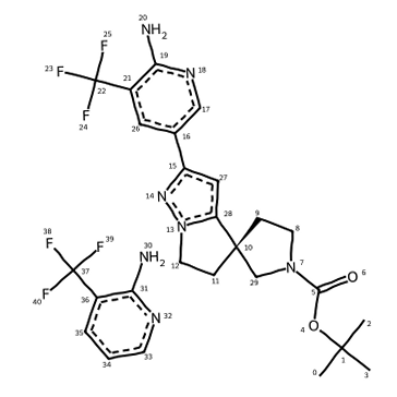 CC(C)(C)OC(=O)N1CC[C@]2(CCn3nc(-c4cnc(N)c(C(F)(F)F)c4)cc32)C1.Nc1ncccc1C(F)(F)F